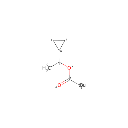 CC(OC(=O)C(C)(C)C)C1CC1